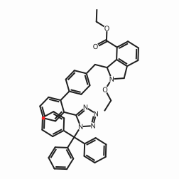 CCOC(=O)c1cccc2c1C(Cc1ccc(-c3ccccc3-c3nnnn3C(c3ccccc3)(c3ccccc3)c3ccccc3)cc1)N(OCC)C2